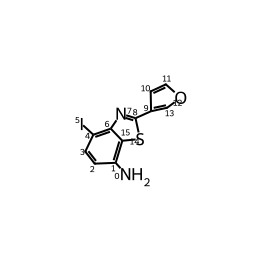 Nc1ccc(I)c2nc(-c3ccoc3)sc12